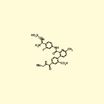 CS(=O)(=O)O.Cc1ccc(-c2ccc(C(=O)NCC(C)(C)C)cc2C(=O)O)c(C(=O)Nc2ccc(C(=N)N)c(F)c2)n1